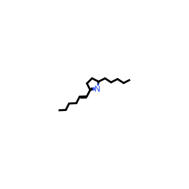 CCCCC=CC1=NC(CCCCC)CC1